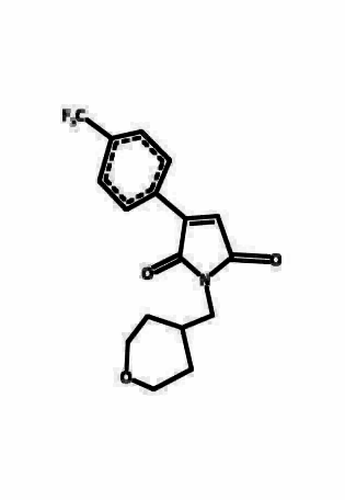 O=C1C=C(c2ccc(C(F)(F)F)cc2)C(=O)N1CC1CCOCC1